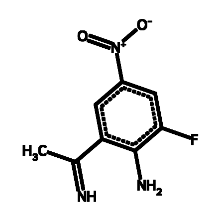 CC(=N)c1cc([N+](=O)[O-])cc(F)c1N